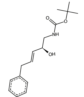 CC(C)(C)OC(=O)NC[C@@H](O)C=CCc1ccccc1